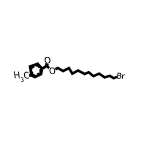 Cc1ccc(C(=O)OCCCCCCCCCCCCBr)cc1